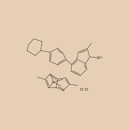 CC1=CC2=C3C(C)=C(C2=N1)[Si]3(C)C.CC1=Cc2c(-c3ccc(C4CCCCC4)cc3)cccc2[CH]1[Zr+2].[Cl-].[Cl-]